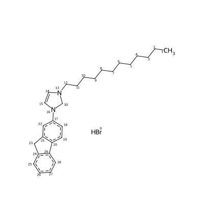 Br.CCCCCCCCCCCCN1C=CN(c2ccc3c(c2)Cc2ccccc2-3)C1